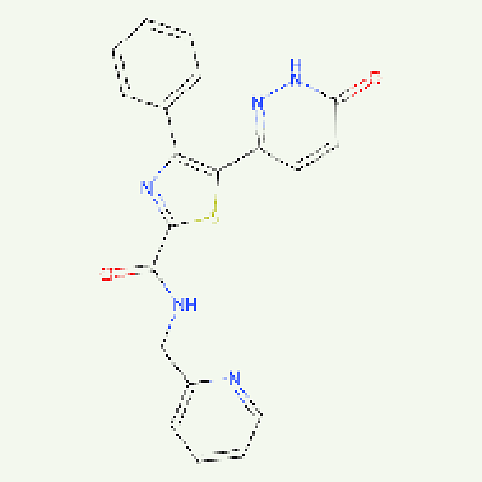 O=C(NCc1ccccn1)c1nc(-c2ccccc2)c(-c2ccc(=O)[nH]n2)s1